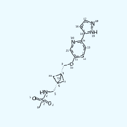 CS(=O)(=O)NC[C@]12C[C@](COc3ccc(-c4ccn[nH]4)nc3)(C1)C2